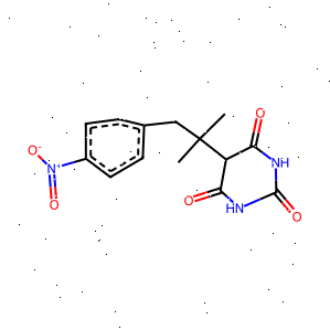 CC(C)(Cc1ccc([N+](=O)[O-])cc1)C1C(=O)NC(=O)NC1=O